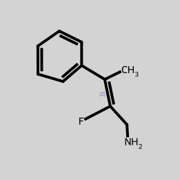 C/C(=C(/F)CN)c1ccccc1